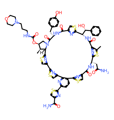 Cc1sc2nc1C(=O)N[C@@H]([C@H](O)c1ccccc1)c1nc(cs1)C(=O)N[C@@H](Cc1ccc(O)cc1)C(=O)N1C[C@H](OC(=O)NCCCN3CCOCC3)[C@H](C)[C@H]1c1nc(cs1)-c1nc(cs1)-c1nc(-c3nc(C(N)=O)cs3)ccc1-c1nc(cs1)C(=O)N[C@H]2CC(N)=O